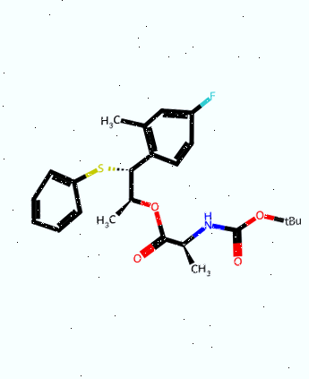 Cc1cc(F)ccc1[C@@H](Sc1ccccc1)[C@H](C)OC(=O)[C@H](C)NC(=O)OC(C)(C)C